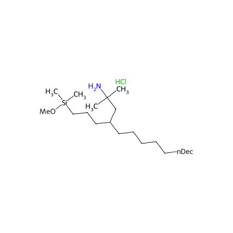 CCCCCCCCCCCCCCCC(CCC[Si](C)(C)OC)CC(C)(C)N.Cl